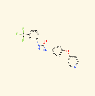 O=C(Nc1ccc(Oc2ccncc2)cc1)Nc1cccc(C(F)(F)F)c1